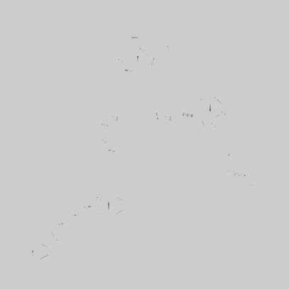 CC[N+]1=C(/C=C/C=C/C=C2/N(CCCCCC(=O)NC(CSSCCC(=O)NCC#Cc3cn([C@H]4CC(O)[C@@H](COP(=O)(O)OP(=O)(O)OP(=O)(O)O)O4)c4ncnc(N)c34)C(=O)NCCCCCC(=O)NC(CC(=O)O)C(=O)NC(CC(=O)O)C(=O)O)c3ccc(S(=O)(=O)O)cc3C2(C)C)C(C)(C)c2cc(C)ccc21